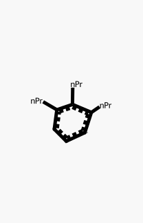 CCCc1[c]ccc(CCC)c1CCC